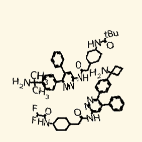 CC(C)(C)C(=O)NC1CCC(CC(=O)Nc2cc(-c3ccccc3)c(-c3ccc(C(C)(C)N)cc3)nn2)CC1.NC1(c2ccc(-c3nnc(NC(=O)CC4CCC(NC(=O)C(F)F)CC4)cc3-c3ccccc3)cc2)CCC1